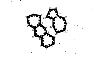 c1ccc2cc3ccccc3cc2c1.c1ccc2cccc-2cc1